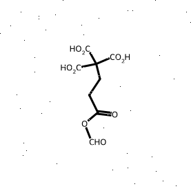 O=COC(=O)CCC(C(=O)O)(C(=O)O)C(=O)O